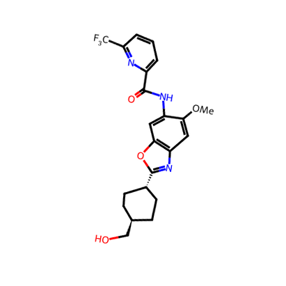 COc1cc2nc([C@H]3CC[C@H](CO)CC3)oc2cc1NC(=O)c1cccc(C(F)(F)F)n1